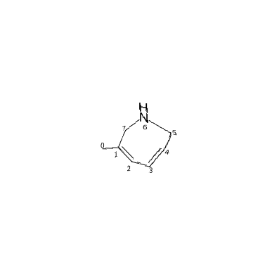 CC1=CC=CCNC1